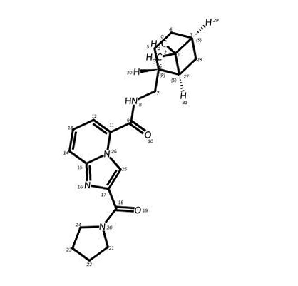 CC1(C)[C@H]2CC[C@@H](CNC(=O)c3cccc4nc(C(=O)N5CCCC5)cn34)[C@@H]1C2